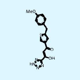 COc1ccc(Cc2cc(C(=O)C=C(O)c3nn[nH]n3)cs2)cc1